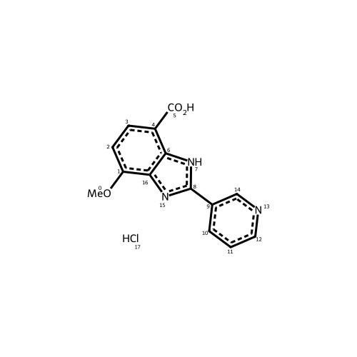 COc1ccc(C(=O)O)c2[nH]c(-c3cccnc3)nc12.Cl